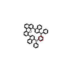 c1ccc(C(c2ccccc2)c2ccc(-c3ccc4cccc5c4c3Oc3c(-c4ccc(N(c6ccccc6)c6ccccc6)c6ccccc46)cccc3-5)c3ccccc23)cc1